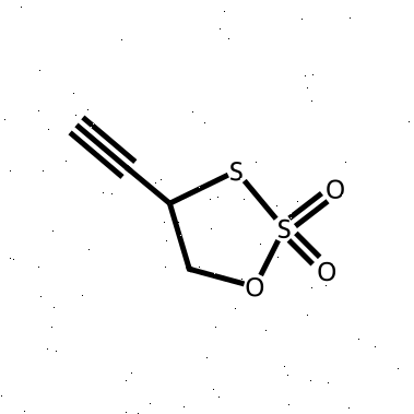 C#CC1COS(=O)(=O)S1